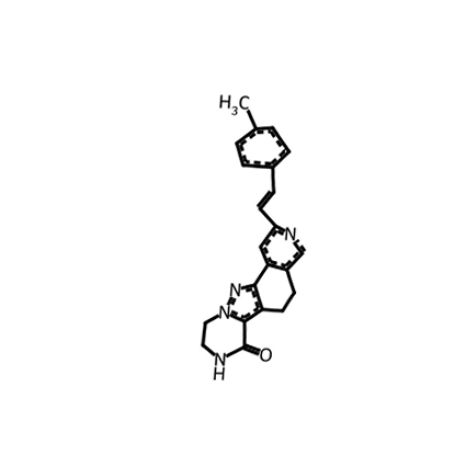 Cc1ccc(C=Cc2cc3c(cn2)CCc2c-3nn3c2C(=O)NCC3)cc1